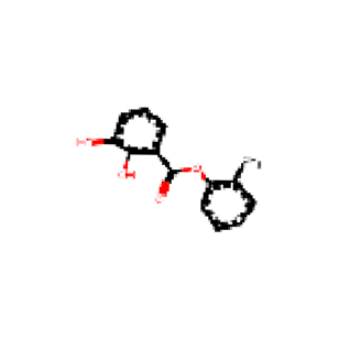 Cc1ccccc1OC(=O)c1cccc(O)c1O